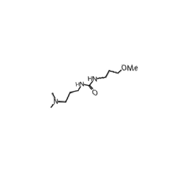 COCCCNC(=O)NCCCN(C)C